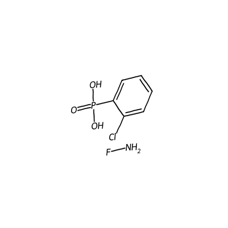 NF.O=P(O)(O)c1ccccc1Cl